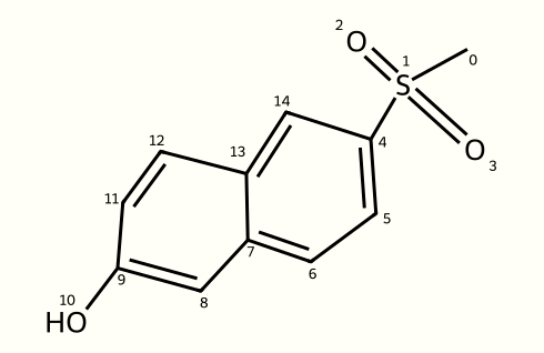 CS(=O)(=O)c1ccc2cc(O)ccc2c1